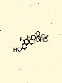 CC(=O)OCC(=O)[C@@]1(O)[C@H](C)C[C@H]2c3cc(F)c4cc(O)ccc4c3CC[C@@]21C